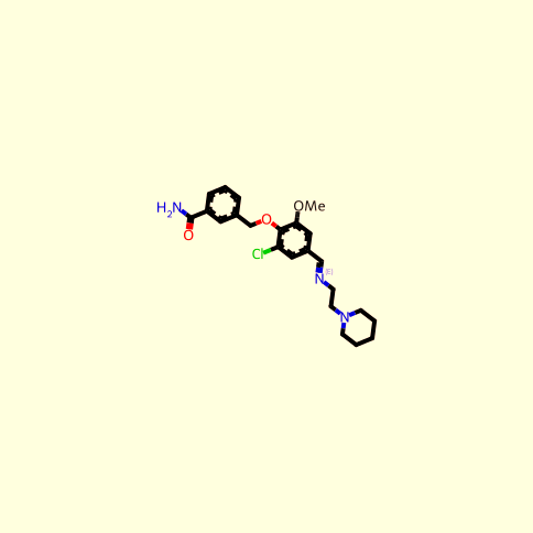 COc1cc(/C=N/CCN2CCCCC2)cc(Cl)c1OCc1cccc(C(N)=O)c1